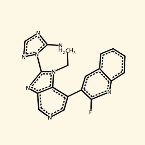 CCn1c(-n2ncnc2N)nc2cncc(-c3cc4ccccc4nc3F)c21